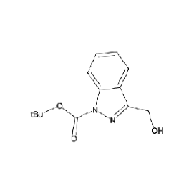 CC(C)(C)OC(=O)n1nc(CO)c2ccccc21